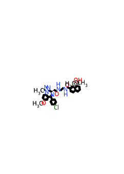 COc1ccc2c(c1)C(c1ccc(Cl)cc1)=N[C@@H](CC(=O)NCCNC(=O)c1ccc3cccc([Si](C)(C)O)c3c1)c1nnc(C)n1-2